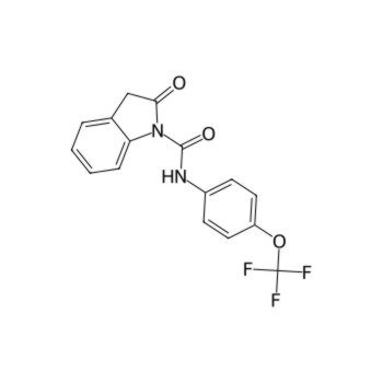 O=C1Cc2ccccc2N1C(=O)Nc1ccc(OC(F)(F)F)cc1